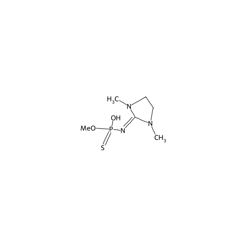 COP(O)(=S)N=C1N(C)CCN1C